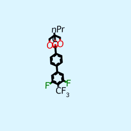 CCCC12COC(c3ccc(-c4cc(F)c(C(F)(F)F)c(F)c4)cc3)(OC1)OC2